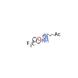 CC(=O)CCCCn1ccc(NC(=O)/C=C\c2ccccc2C(F)(F)F)n1